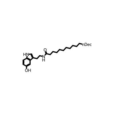 CCCCCCCCCCCCCCCCCCCCC(=O)NCCc1c[nH]c2ccc(O)cc12